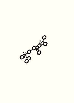 c1ccc(-c2nc3cc4c5ccc(-c6ccc(-c7nc8ccccc8n7-c7cccc8ccccc78)cc6)cc5n(-c5ccccc5)c4cc3c3ccccc23)cc1